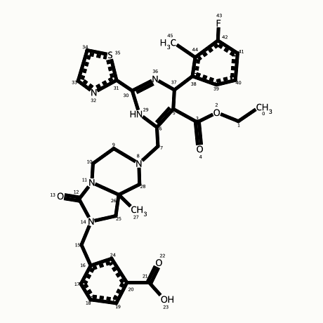 CCOC(=O)C1=C(CN2CCN3C(=O)N(Cc4cccc(C(=O)O)c4)CC3(C)C2)NC(c2nccs2)=NC1c1cccc(F)c1C